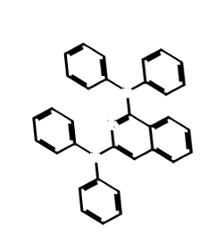 c1ccc(P(c2ccccc2)c2cc3ccccc3c(P(c3ccccc3)c3ccccc3)n2)cc1